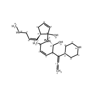 C=C=C(C(/C=C\C(C)NC1(O)C=CC[C@@H]1/C=C\CNC)[C@H](C)O)N1CCNCC1